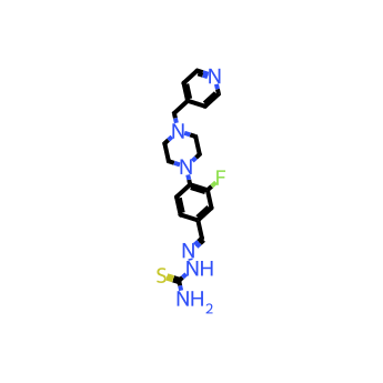 NC(=S)NN=Cc1ccc(N2CCN(Cc3ccncc3)CC2)c(F)c1